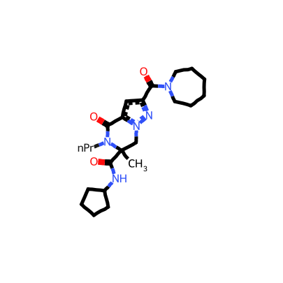 CCCN1C(=O)c2cc(C(=O)N3CCCCCC3)nn2CC1(C)C(=O)NC1CCCC1